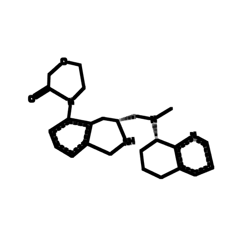 CN(C[C@H]1Cc2c(cccc2N2CCOCC2=O)CN1)[C@H]1CCCc2cccnc21